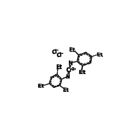 CCc1cc(CC)c([N]=[Cr+2]=[N]c2c(CC)cc(CC)cc2CC)c(CC)c1.[Cl-].[Cl-]